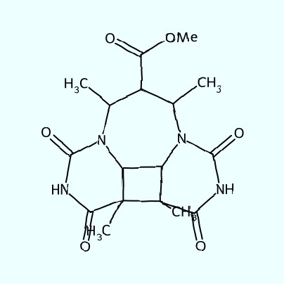 COC(=O)C1C(C)N2C(=O)NC(=O)C3(C)C2C2N(C(=O)NC(=O)C23C)C1C